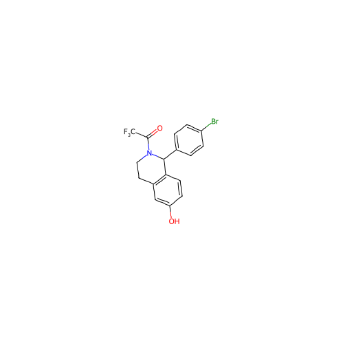 O=C(N1CCc2cc(O)ccc2C1c1ccc(Br)cc1)C(F)(F)F